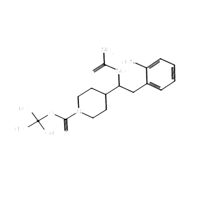 CC(C)(C)OC(=O)N1CCC(C(Cc2ccccc2N)NC(N)=S)CC1